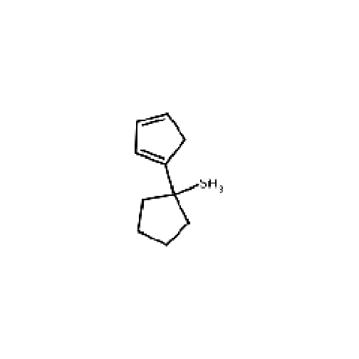 [SiH3]C1(C2=CC=CC2)CCCC1